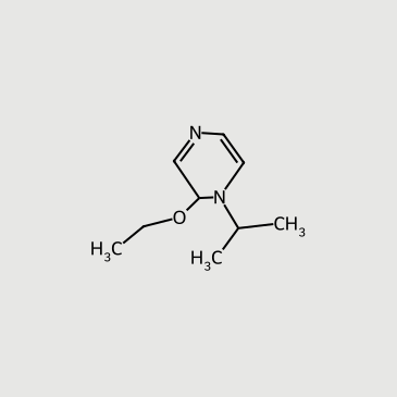 CCOC1C=NC=CN1C(C)C